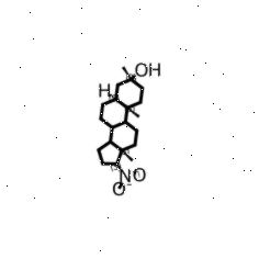 C[C@@]1(O)CC[C@]2(C)C3CC[C@@]4(C)C(CC[C@@H]4[N+](=O)[O-])C3CC[C@H]2C1